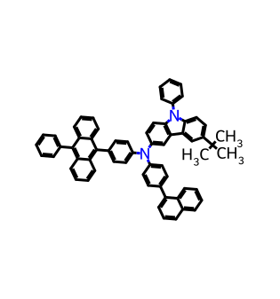 CC(C)(C)c1ccc2c(c1)c1cc(N(c3ccc(-c4cccc5ccccc45)cc3)c3ccc(-c4c5ccccc5c(-c5ccccc5)c5ccccc45)cc3)ccc1n2-c1ccccc1